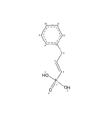 O=P(O)(O)/C=C/Cc1ccccc1